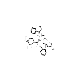 CCO[C@@H]1C[C@H]2CN(C(=O)[C@H](C3CCC(F)(F)CC3)N(Cc3ccccc3)C(=O)O)[C@H](C(=O)N[C@@H]3CCOc4ccccc43)CN2C1